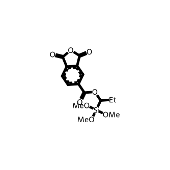 CCC(OC(=O)c1ccc2c(c1)C(=O)OC2=O)[Si](OC)(OC)OC